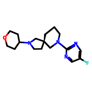 Fc1cnc(N2CCC[C@]3(CCN(C4CCOCC4)C3)C2)nc1